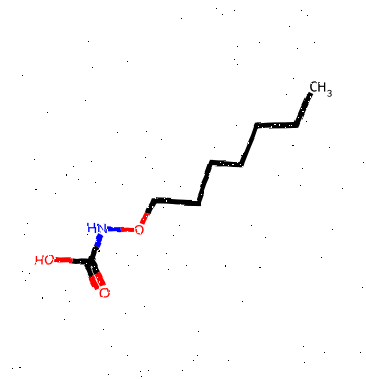 CCCCCCCONC(=O)O